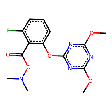 COc1nc(OC)nc(Oc2cccc(F)c2C(=O)ON(C)C)n1